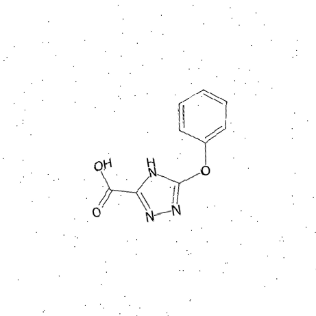 O=C(O)c1nnc(Oc2ccccc2)[nH]1